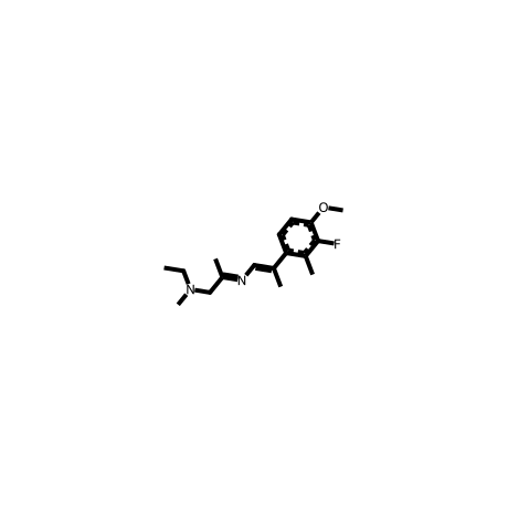 CCN(C)C/C(C)=N/C=C(\C)c1ccc(OC)c(F)c1C